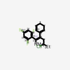 CCC(Cl)C/C(C1=CCCC=C1)=C(\NC)c1c(F)cc(F)cc1F